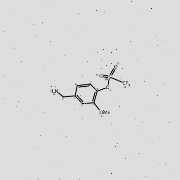 COc1cc(CN)ccc1OS(=O)(=O)C(F)(F)F